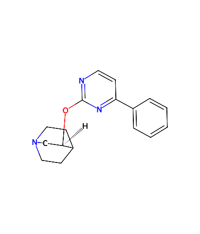 c1ccc(-c2ccnc(O[C@@H]3CN4CCC3CC4)n2)cc1